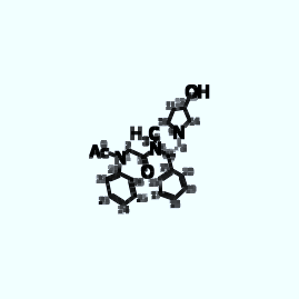 CC(=O)N(CC(=O)N(C)[C@H](CN1CCC(O)C1)c1ccccc1)c1ccccc1